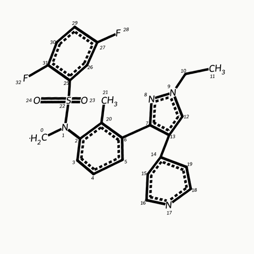 [CH2]N(c1cccc(-c2nn(CC)cc2-c2ccncc2)c1C)S(=O)(=O)c1cc(F)ccc1F